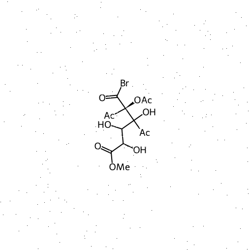 COC(=O)C(O)C(O)C(O)(C(C)=O)[C@](OC(C)=O)(C(C)=O)C(=O)Br